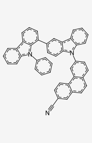 N#Cc1ccc2c(ccc3ccc(-n4c5ccccc5c5cc(-c6cccc7c8ccccc8n(-c8ccccc8)c67)ccc54)cc32)c1